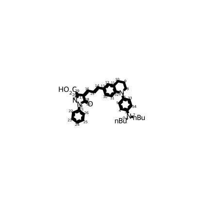 CCCCN(CCCC)c1ccc(N2CCCc3cc(/C=C/C=C4\C(=O)N(c5ccccc5)N=C4C(=O)O)ccc32)cc1